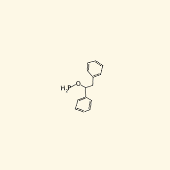 POC(Cc1ccccc1)c1ccccc1